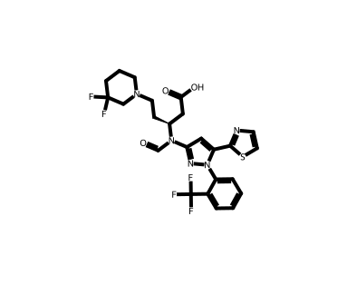 O=CN(c1cc(-c2nccs2)n(-c2ccccc2C(F)(F)F)n1)[C@@H](CCN1CCCC(F)(F)C1)CC(=O)O